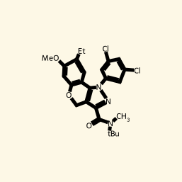 CCc1cc2c(cc1OC)OCc1c(C(=O)N(C)C(C)(C)C)nn(-c3cc(Cl)cc(Cl)c3)c1-2